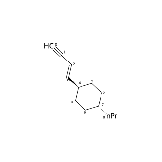 C#C/C=C/[C@H]1CC[C@H](CCC)CC1